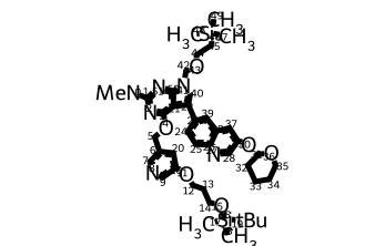 CNc1nc(OCc2cncc(OCCCO[Si](C)(C)C(C)(C)C)c2)c2c(-c3ccc4ncc(OC5CCCCO5)cc4c3)cn(COCC[Si](C)(C)C)c2n1